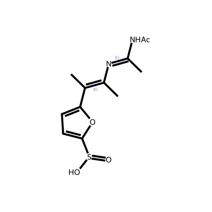 CC(=O)N/C(C)=N/C(C)=C(\C)c1ccc(S(=O)O)o1